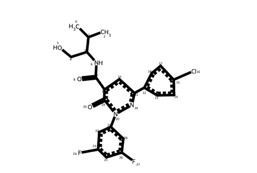 CC(C)C(CO)NC(=O)c1cc(-c2ccc(Cl)cc2)nn(-c2cc(F)cc(F)c2)c1=O